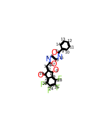 O=C1C(=Cc2nc3oc(-c4ccccc4)nc3o2)C(=O)c2c(F)c(F)c(F)c(F)c21